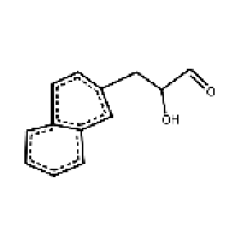 O=[C]C(O)Cc1ccc2ccccc2c1